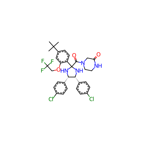 CC(C)(C)c1ccc(C2(C(=O)N3CCNC(=O)C3)N[C@H](c3ccc(Cl)cc3)[C@H](c3ccc(Cl)cc3)N2)c(OCC(F)(F)F)c1